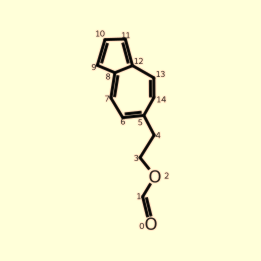 O=COCCc1ccc2cccc-2cc1